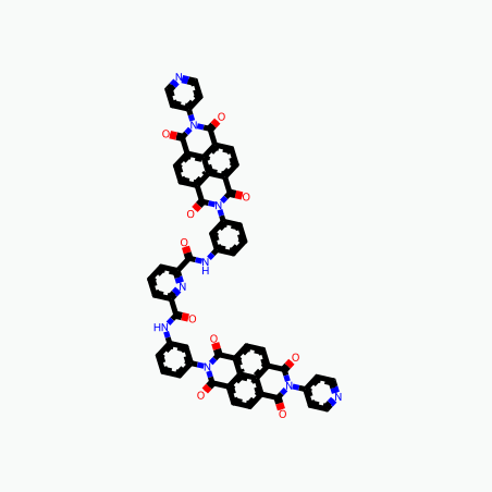 O=C(Nc1cccc(N2C(=O)c3ccc4c5c(ccc(c35)C2=O)C(=O)N(c2ccncc2)C4=O)c1)c1cccc(C(=O)Nc2cccc(N3C(=O)c4ccc5c6c(ccc(c46)C3=O)C(=O)N(c3ccncc3)C5=O)c2)n1